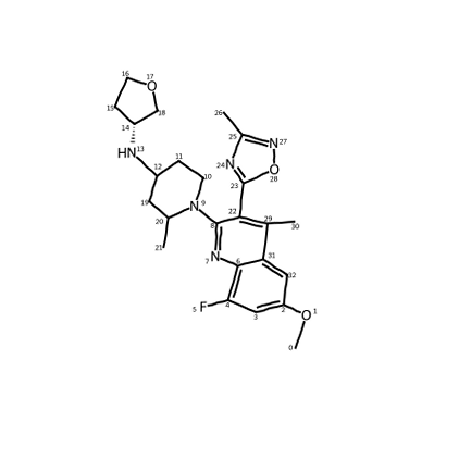 COc1cc(F)c2nc(N3CCC(N[C@@H]4CCOC4)CC3C)c(-c3nc(C)no3)c(C)c2c1